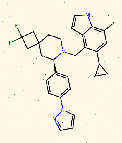 Cc1cc(C2CC2)c(CN2CCC3(C[C@@H]2c2ccc(-n4cccn4)cc2)CC(F)(F)C3)c2cc[nH]c12